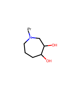 CC(C)N1CCCC(O)C(O)C1